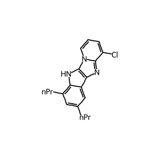 CCCc1cc(CCC)c2[nH]c3c(nc4c(Cl)cccn43)c2c1